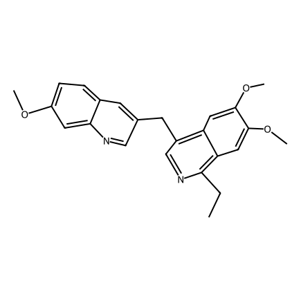 CCc1ncc(Cc2cnc3cc(OC)ccc3c2)c2cc(OC)c(OC)cc12